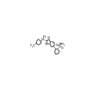 CC[C@H](c1ccc(C(F)(F)F)cc1)c1nc2cc(-c3ccccc3S(N)(=O)=O)ccc2[nH]1